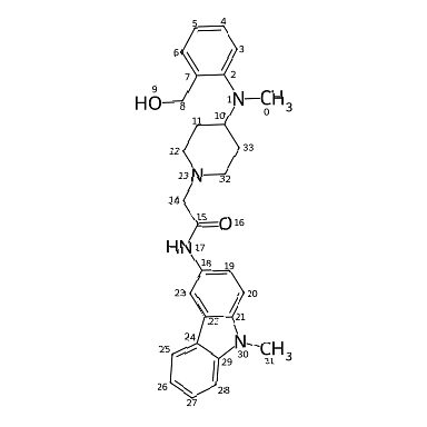 CN(c1ccccc1CO)C1CCN(CC(=O)Nc2ccc3c(c2)c2ccccc2n3C)CC1